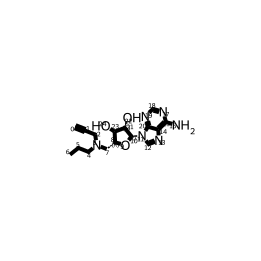 C#CCN(CCC)C[C@H]1O[C@@H](n2cnc3c(N)ncnc32)[C@@H](O)C1O